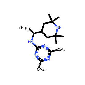 CCCCCCCC(Nc1nc(OC)nc(OC)n1)C1CC(C)(C)NC(C)(C)C1